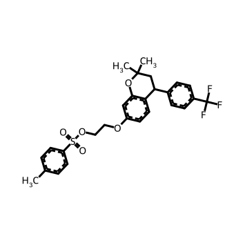 Cc1ccc(S(=O)(=O)OCCOc2ccc3c(c2)OC(C)(C)CC3c2ccc(C(F)(F)F)cc2)cc1